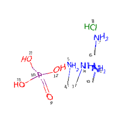 CN.CN.CN.CN.Cl.O=P(O)(O)O